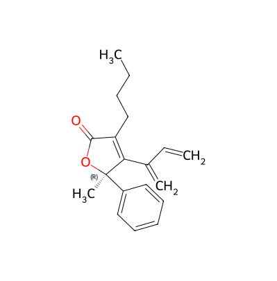 C=CC(=C)C1=C(CCCC)C(=O)O[C@]1(C)c1ccccc1